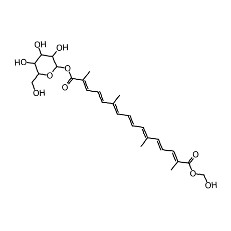 CC(/C=C/C=C(\C)C(=O)OCO)=C\C=C\C=C(C)\C=C\C=C(/C)C(=O)OC1OC(CO)C(O)C(O)C1O